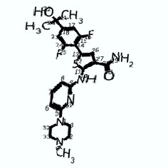 CN1CCN(c2cccc(Nc3sc(-c4c(F)cc(C(C)(C)O)cc4F)cc3C(N)=O)n2)CC1